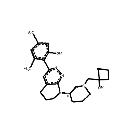 Cc1cc(C(F)(F)F)cc(O)c1-c1cc2c(nn1)N([C@@H]1CCCN(CC3(O)CCC3)C1)CCC2